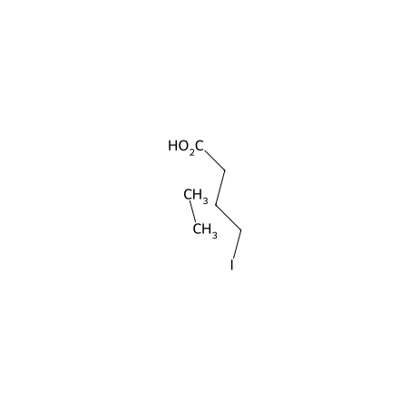 CC.O=C(O)CCCI